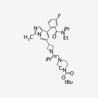 CCN(C(=O)c1cc(F)ccc1-c1cc(C2CN([C@@H](CN3CCN(C(=O)OC(C)(C)C)CC3)C(C)C)C2)cn2c(C)ncc12)C(C)C